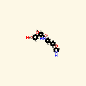 COc1ccc(C(=O)Nc2ccc(-c3ccc(OC4CCNCC4)cc3)cc2)cc1C1=CC=CC(O)=CC1